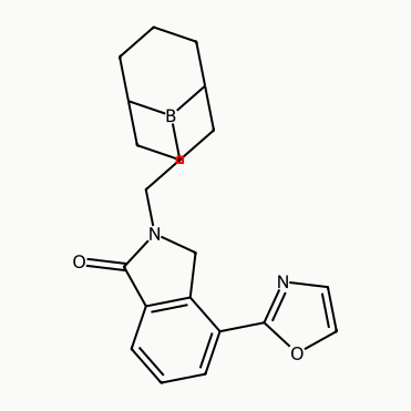 O=C1c2cccc(-c3ncco3)c2CN1CCB1C2CCCC1CCC2